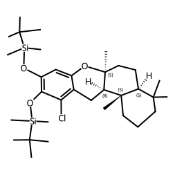 CC1(C)CCC[C@]2(C)[C@H]3Cc4c(cc(O[Si](C)(C)C(C)(C)C)c(O[Si](C)(C)C(C)(C)C)c4Cl)O[C@@]3(C)CC[C@@H]12